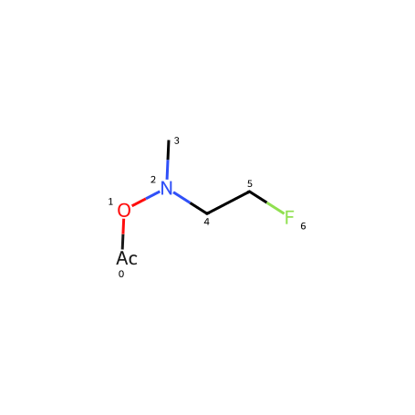 CC(=O)ON(C)CCF